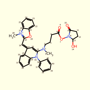 CN(CCCC(=O)ON1C(=O)CCC1O)C1=C/C(=C\c2oc3ccccc3[n+]2C)c2ccccc2N1c1ccccc1